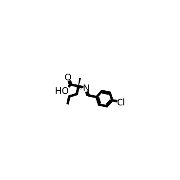 CCC[C@@](C)(N=Cc1ccc(Cl)cc1)C(=O)O